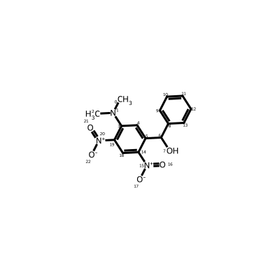 CN(C)c1cc(C(O)c2ccccc2)c([N+](=O)[O-])cc1[N+](=O)[O-]